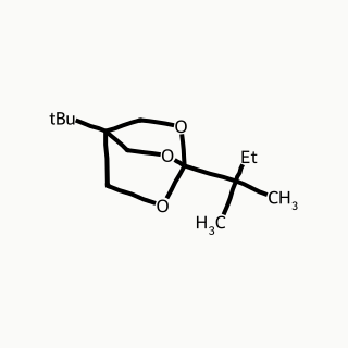 CCC(C)(C)C12OCC(C(C)(C)C)(CO1)CO2